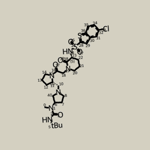 CN(C(=O)NC(C)(C)C)C1CCN(C[C@@H]2CCCN2C(=O)CN2CCC[C@H](NS(=O)(=O)c3cc4cc(Cl)ccc4s3)C2=O)C1